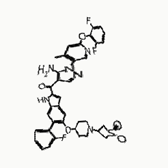 Cc1cc(Oc2c(F)cccc2F)ncc1-n1ncc(C(=O)c2cc3cc(OC4CCN(C5CS(=O)(=O)C5)CC4)c(-c4ccccc4F)cc3[nH]2)c1N